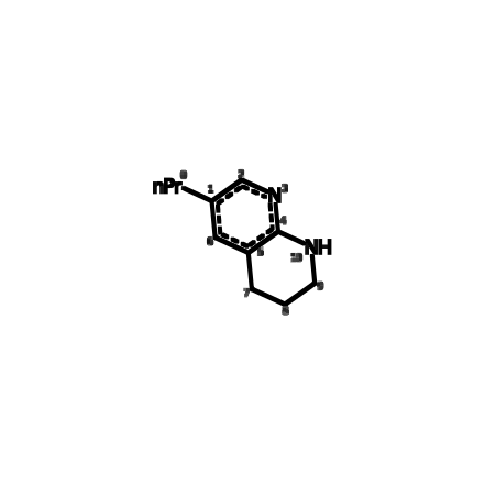 CCCc1cnc2c(c1)CCCN2